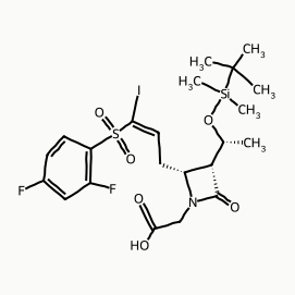 C[C@@H](O[Si](C)(C)C(C)(C)C)[C@@H]1C(=O)N(CC(=O)O)[C@@H]1C/C=C(/I)S(=O)(=O)c1ccc(F)cc1F